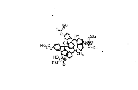 CC(C)(C)OC(=O)Oc1ccc(C(C)(c2ccc(OC(=O)O)cc2)c2cc(C(C)(c3ccc(OC(=O)O)cc3)c3ccc(OC(=O)OC(C)(C)C)cc3)cc(C(C)(c3ccc(OC(=O)OC(C)(C)C)cc3)c3ccc(OC(=O)OC(C)(C)C)cc3)c2)cc1